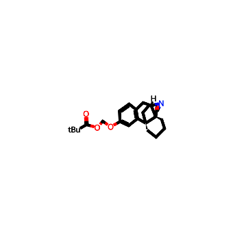 CC(C)(C)C(=O)OCOc1ccc2c(c1)[C@]13CCCC[C@@]14CCN(CC3)[C@H]4C2